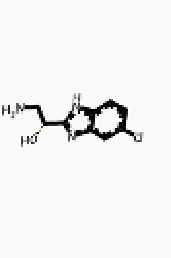 NC[C@@H](O)c1nc2cc(Cl)ccc2[nH]1